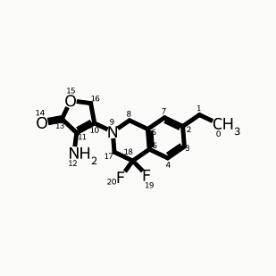 CCc1ccc2c(c1)CN(C1=C(N)C(=O)OC1)CC2(F)F